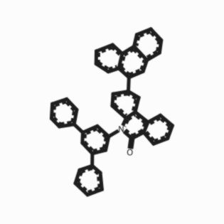 O=c1c2ccccc2c2cc(-c3cc4ccccc4c4ccccc34)ccc2n1-c1cc(-c2ccccc2)cc(-c2ccccc2)c1